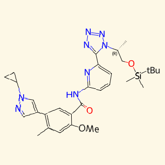 COc1cc(C)c(-c2cnn(C3CC3)c2)cc1C(=O)Nc1cccc(-c2nnnn2[C@H](C)CO[Si](C)(C)C(C)(C)C)n1